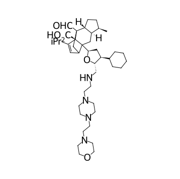 CC(C)C1=CC2CC3(C=O)[C@@H]4CC[C@@H](C)[C@H]4CC2([C@H]2C[C@@H](C4CCCCC4)[C@H](CNCCN4CCN(CCN5CCOCC5)CC4)O2)[C@]13C(=O)O